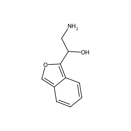 NCC(O)c1occ2ccccc12